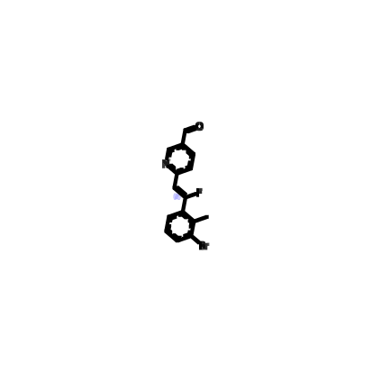 Cc1c(Br)cccc1/C(F)=C/c1ccc(C=O)cn1